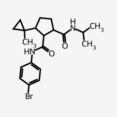 CC(C)NC(=O)C1CCC(C2(C)CC2)C1C(=O)Nc1ccc(Br)cc1